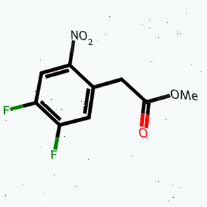 COC(=O)Cc1cc(F)c(F)cc1[N+](=O)[O-]